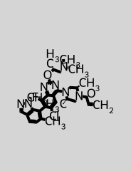 C=CC(=O)N1C[C@H](C)N(c2nc(O[C@H](C)CN(C)C)nc3c(F)c(-c4c(C)ccc5cnn(C)c45)c(Cl)cc23)C[C@H]1C